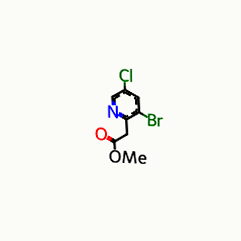 COC(=O)Cc1ncc(Cl)cc1Br